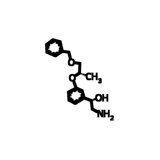 C[C@@H](COCc1ccccc1)Oc1cccc([C@H](O)CN)c1